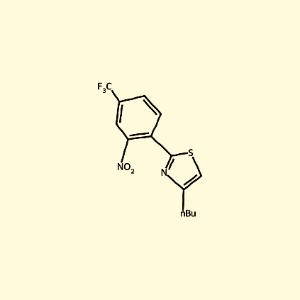 CCCCc1csc(-c2ccc(C(F)(F)F)cc2[N+](=O)[O-])n1